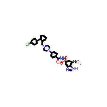 O=C(NS(=O)(=O)c1cc([N+](=O)[O-])c2[nH]cnc2c1)c1ccc(N2CCN(Cc3ccccc3-c3ccc(Cl)cc3)CC2)cc1